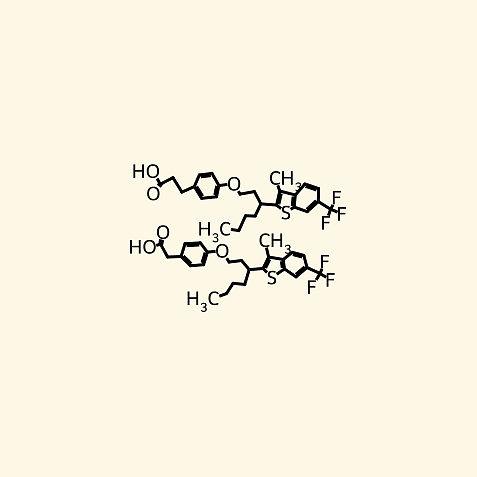 CCCCC(CCOc1ccc(CC(=O)O)cc1)c1sc2cc(C(F)(F)F)ccc2c1C.CCCCC(CCOc1ccc(CCC(=O)O)cc1)c1sc2cc(C(F)(F)F)ccc2c1C